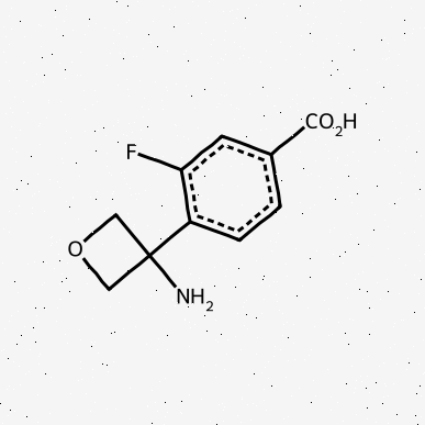 NC1(c2ccc(C(=O)O)cc2F)COC1